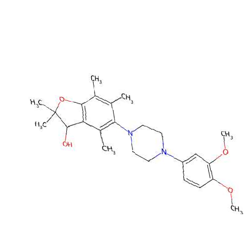 COc1ccc(N2CCN(c3c(C)c(C)c4c(c3C)C(O)C(C)(C)O4)CC2)cc1OC